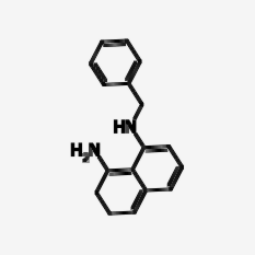 NC1=c2c(NCc3ccccc3)cccc2=CCC1